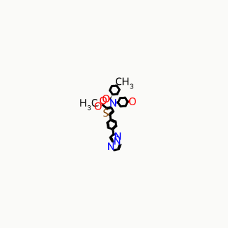 COC(=O)c1sc(-c2ccc(-c3cc4ncccn4n3)cc2)cc1N(C(=O)[C@H]1CC[C@H](C)CC1)C1CCC(=O)CC1